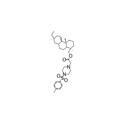 CC[C@@]1(C)CC=C2C(CCC3[C@](C)(COC(=O)CN4CCN(S(=O)(=O)c5ccc(C)cc5)CC4)CCC[C@@]23C)C1